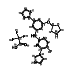 Fc1cnc(Nc2cc(OC3CCNC3)cc(-c3cccs3)c2)nc1-n1ccnc1.O=C(O)C(F)(F)F